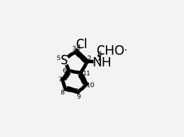 O=[C]Nc1c(Cl)sc2ccccc12